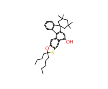 CCCCCC1(CCCC)Oc2cc3c4c(cc(O)c3cc2S1)C1(CC(C)(C)CC(C)(C)C1)c1ccccc1-4